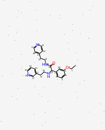 CCOc1cccc(C(NCCc2cccnc2)C(=O)NCCc2ccncc2)c1